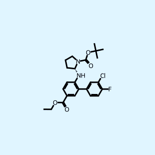 CCOC(=O)c1ccc(N[C@@H]2CCCN2C(=O)OC(C)(C)C)c(-c2ccc(F)c(Cl)c2)c1